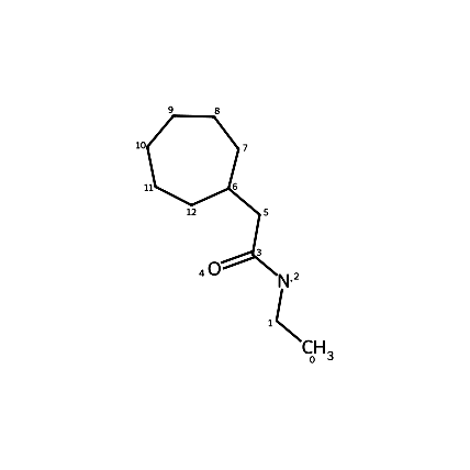 CC[N]C(=O)CC1CCCCCC1